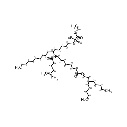 CCCCCCCCCCC(CCCCCCC(F)(F)C(=O)OCC)N(CCCCCCCC(=O)OCCC(CCCCC)CCCCC)C(=O)CCCN(C)C